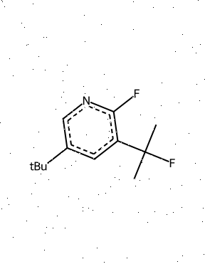 CC(C)(C)c1cnc(F)c(C(C)(C)F)c1